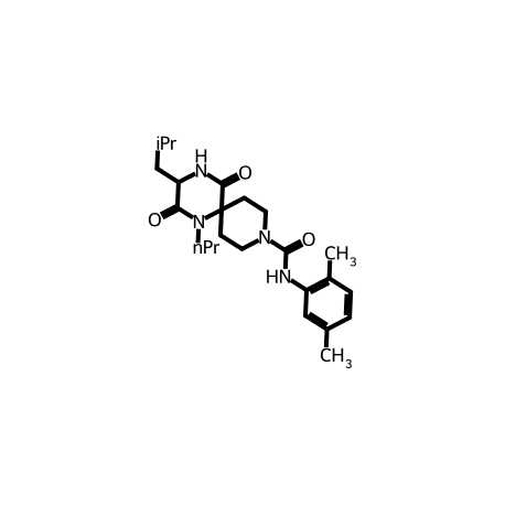 CCCN1C(=O)C(CC(C)C)NC(=O)C12CCN(C(=O)Nc1cc(C)ccc1C)CC2